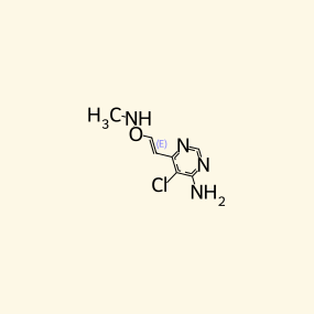 CNO/C=C/c1ncnc(N)c1Cl